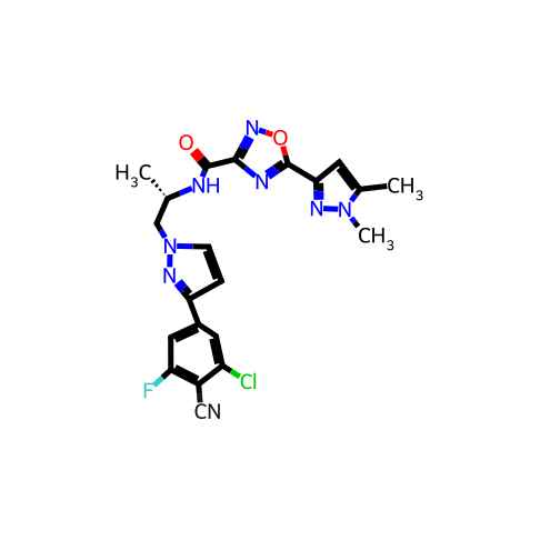 Cc1cc(-c2nc(C(=O)N[C@@H](C)Cn3ccc(-c4cc(F)c(C#N)c(Cl)c4)n3)no2)nn1C